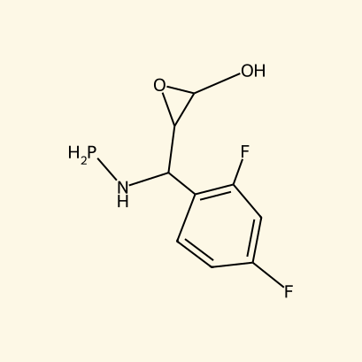 OC1OC1C(NP)c1ccc(F)cc1F